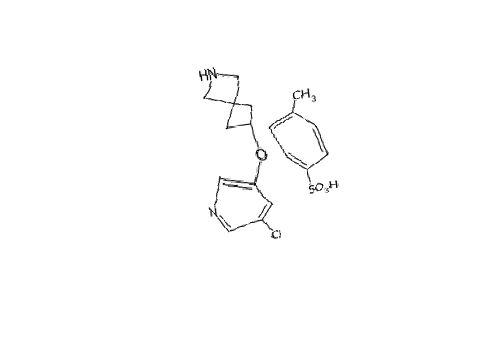 Cc1ccc(S(=O)(=O)O)cc1.Clc1cncc(OC2CC3(CNC3)C2)c1